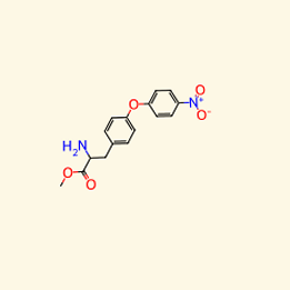 COC(=O)C(N)Cc1ccc(Oc2ccc([N+](=O)[O-])cc2)cc1